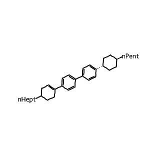 CCCCCCCC1CC=C(c2ccc(-c3ccc([C@H]4CC[C@H](CCCCC)CC4)cc3)cc2)CC1